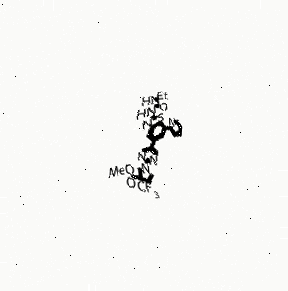 CCNC(=O)Nc1nc2cc(-c3cnc(N4CCC(C(=O)OC)(C(F)(F)F)C4)nc3)cc(-c3ccccn3)c2s1